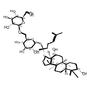 CC(C)=CCCC(C)(O[C@@H]1O[C@H](CO[C@@H]2O[C@H](CO)[C@@H](O)[C@H](O)[C@H]2O)[C@@H](O)[C@H](O)[C@H]1O)[C@H]1CC[C@]2(C)[C@@H]1[C@H](O)C[C@@H]1[C@@]3(C)CC[C@H](O)C(C)(C)[C@@H]3CC[C@]12C